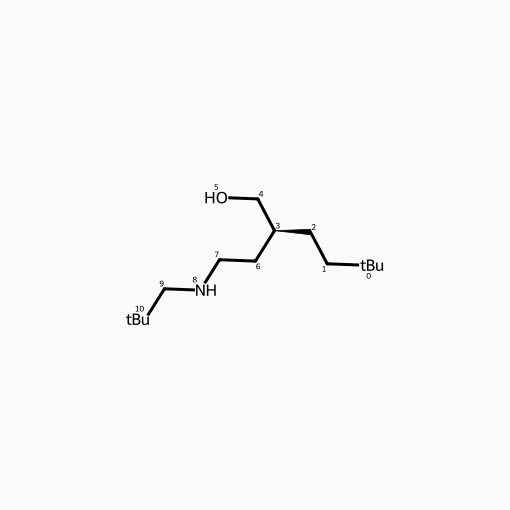 CC(C)(C)CC[C@H](CO)CCNCC(C)(C)C